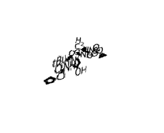 C=C[C@@H]1C[C@]1(NC(=O)[C@@H]1C[C@@H](O)CN1C(=O)[C@@H](NC(=O)OC1CCCC1)C(C)(C)C)C(=O)NS(=O)(=O)OC1CC1